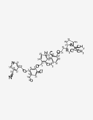 Cc1c(COc2cc(OCc3cncc(C#N)c3)c(C=O)cc2Cl)cccc1-c1cccc(OCCCC2CCCN2C(C)(C)C)c1C